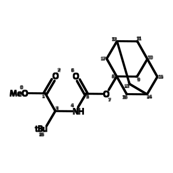 COC(=O)C(NC(=O)OC12CC3CC(CC(C3)C1)C2)C(C)(C)C